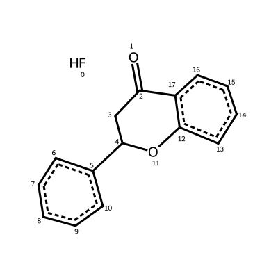 F.O=C1CC(c2ccccc2)Oc2ccccc21